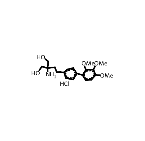 COc1ccc(-c2ccc(CCC(N)(CO)CO)cc2)c(OC)c1OC.Cl